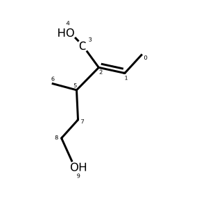 CC=C(CO)C(C)CCO